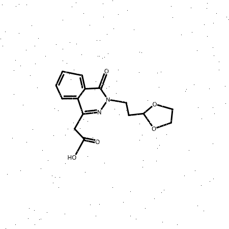 O=C(O)Cc1nn(CCC2OCCO2)c(=O)c2ccccc12